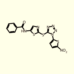 O=C(Nc1cnc(Sc2nnnn2-c2ccc([N+](=O)[O-])s2)s1)c1ccccc1